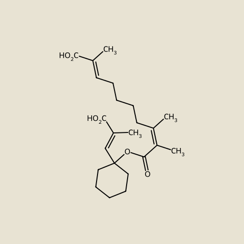 CC(=CCCCCC(C)=C(C)C(=O)OC1(C=C(C)C(=O)O)CCCCC1)C(=O)O